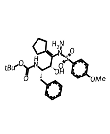 COc1ccc(S(=O)(=O)N(N)C(=C2CCCC2)[C@H](O)[C@H](Cc2ccccc2)NC(=O)OC(C)(C)C)cc1